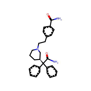 NC(=O)c1ccc(CCN2CCC[C@H](C(C(N)=O)(c3ccccc3)c3ccccc3)C2)cc1